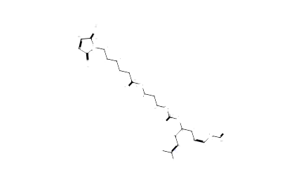 C/C(Cl)=C\CC(C/C=C\NC=O)OC(=O)NCCCNC(=O)CCCCCN1C(=O)C=CC1=O